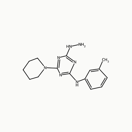 Cc1cccc(Nc2nc(NN)nc(N3CCCCC3)n2)c1